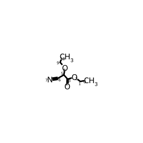 CCOC(=O)C(C#N)OCC